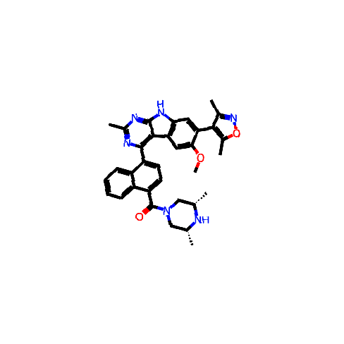 COc1cc2c(cc1-c1c(C)noc1C)[nH]c1nc(C)nc(-c3ccc(C(=O)N4C[C@@H](C)N[C@@H](C)C4)c4ccccc34)c12